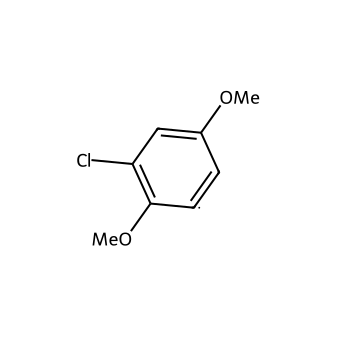 COc1c[c]c(OC)c(Cl)c1